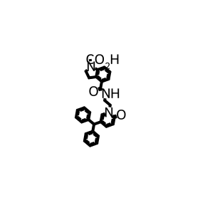 O=C(NCCn1cc(C(c2ccccc2)c2ccccc2)ccc1=O)c1cccc2c1CCN2C(=O)O